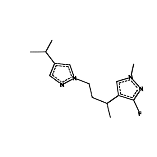 CC(C)c1cnn(CCC(C)c2cn(C)nc2F)c1